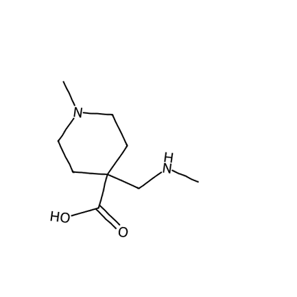 CNCC1(C(=O)O)CCN(C)CC1